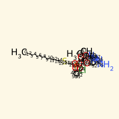 CCCCCCCCCCCCCCCCSCCCOP(=O)(OC[C@H]1O[C@@](C#N)(c2ccc3c(N)ncnn23)[C@@H]2OC(C)(C)O[C@@H]21)Oc1ccccc1Cl